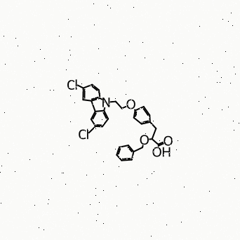 O=C(O)C(Cc1ccc(OCCn2c3ccc(Cl)cc3c3cc(Cl)ccc32)cc1)OCc1ccccc1